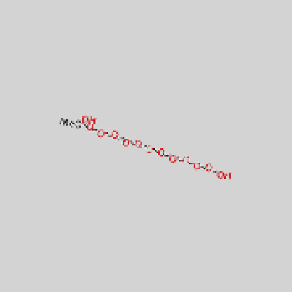 COC(O)COCCOCCOCCOCCOCCOCCOCCOCCOCCOCCOCCO